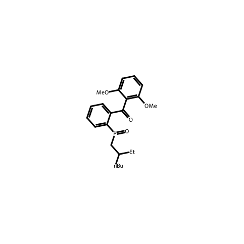 CCCCC(CC)C[P](=O)c1ccccc1C(=O)c1c(OC)cccc1OC